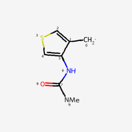 [CH2]c1cscc1NC(=O)NC